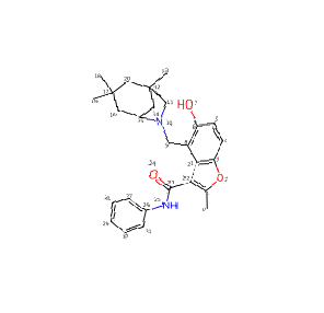 Cc1oc2ccc(O)c(CN3CC4(C)CC3CC(C)(C)C4)c2c1C(=O)Nc1ccccc1